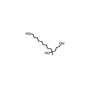 CC(O)(CCCO)CCCCCCCCCO